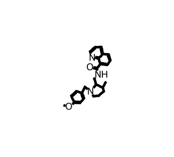 COc1ccc(CN2CCCC(C)C2CNC(=O)c2cccc3cccnc23)cc1